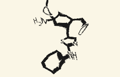 COC1(N)C=CC(C=O)C(c2cnc(Nc3ccccc3)s2)=C1